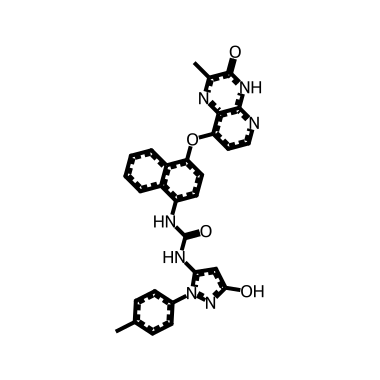 Cc1ccc(-n2nc(O)cc2NC(=O)Nc2ccc(Oc3ccnc4[nH]c(=O)c(C)nc34)c3ccccc23)cc1